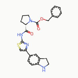 O=C(Nc1nc(-c2ccc3c(c2)CCN3)cs1)[C@@H]1CCCN1C(=O)OCc1ccccc1